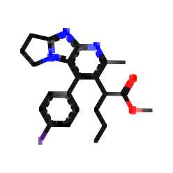 CCCC(C(=O)OC)c1c(C)nc2nc3n(c2c1-c1ccc(I)cc1)CCC3